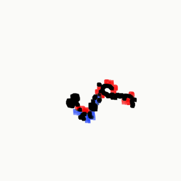 CCO[C@]1(C)CC[C@@H](O)CC(=O)O[C@H](/C(C)=C/C=C/C(C)(O)C[C@H]2O[C@@H]2C(C)C(O)CC)[C@@H](C)/C=C/[C@@H]1OC(=O)N1CC[N+](C)(Cc2ccc(NC(=O)C(C)NC(=O)C(NC(=O)OCC3c4ccccc4-c4ccccc43)C(C)C)cc2)CC1